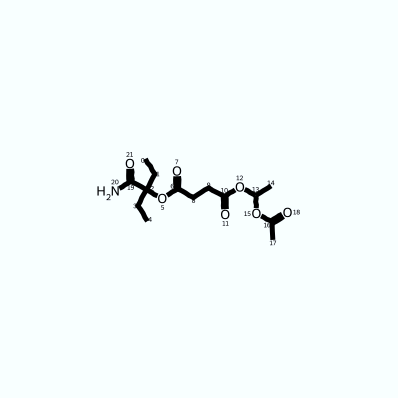 CCC(CC)(OC(=O)CCC(=O)OC(C)OC(C)=O)C(N)=O